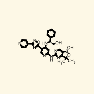 CC1(C)OB(O)c2cnc(Nc3cc(N[C@H](CO)c4ccccc4)c(-c4nc(-c5ccncc5)no4)cn3)nc21